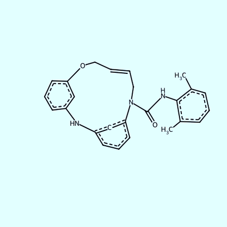 Cc1cccc(C)c1NC(=O)N1C/C=C/COc2cccc(c2)Nc2cccc1c2